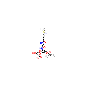 C=CSNCCCCCC(=O)NCCC(=O)Nc1cc(COC(=O)C(C)C)ccc1OC1CC(O)CC(C(=O)O)O1